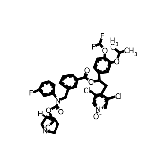 CC(C)Oc1cc(C(Cc2c(Cl)c[n+]([O-])cc2Cl)OC(=O)c2cccc(CN(C(=O)O[C@H]3CN4CCC3CC4)c3cccc(F)c3)c2)ccc1OC(F)F